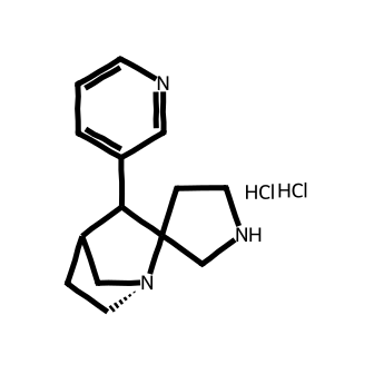 Cl.Cl.c1cncc(C2C3CC[N@](C3)C23CCNC3)c1